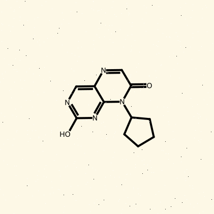 O=c1cnc2cnc(O)nc2n1C1CCCC1